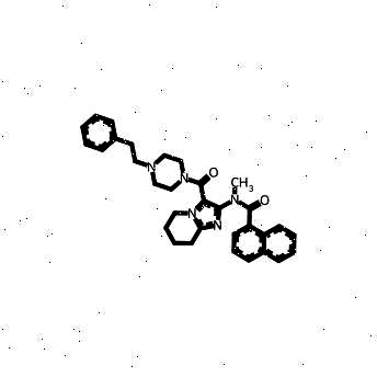 CN(C(=O)c1cccc2ccccc12)c1nc2n(c1C(=O)N1CCN(CCc3ccccc3)CC1)CCCC2